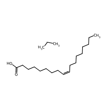 CCCCCCCC/C=C\CCCCCCCC(=O)O.C[CH]C